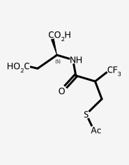 CC(=O)SCC(C(=O)N[C@@H](CC(=O)O)C(=O)O)C(F)(F)F